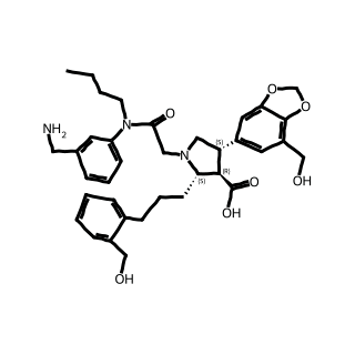 CCCCN(C(=O)CN1C[C@H](c2cc(CO)c3c(c2)OCO3)[C@@H](C(=O)O)[C@@H]1CCCc1ccccc1CO)c1cccc(CN)c1